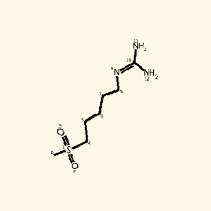 CS(=O)(=O)CCCCCN=C(N)N